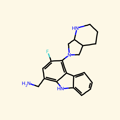 NCc1cc(F)c(N2CC3CCCNC3C2)c2c1[nH]c1ccccc12